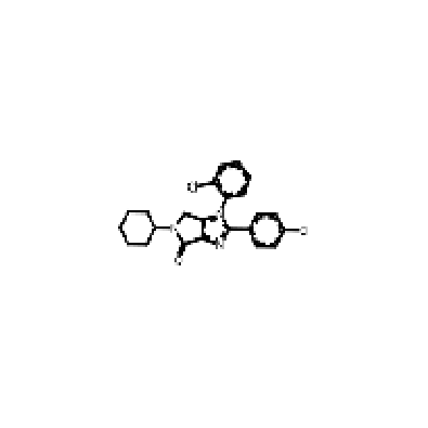 O=C1c2nc(-c3ccc(Cl)cc3)n(-c3ccccc3Cl)c2CN1C1CCCCC1